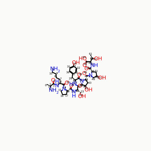 C[C@H](N)C(=O)N[C@@H](CCCCN)C(=O)N1CCC[C@H]1C(=O)N[C@@H](CO)C(=O)N[C@@H](Cc1ccc(O)cc1)C(=O)N1C[C@H](O)C[C@H]1C(=O)N1C[C@H](O)C[C@H]1C(=O)N[C@H](C(=O)O)[C@@H](C)O